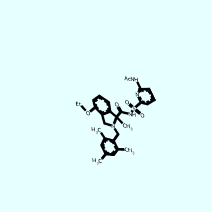 CCOc1cccc2c1CN(Cc1c(C)cc(C)cc1C)C2(C)C(=O)NS(=O)(=O)c1cccc(NC(C)=O)n1